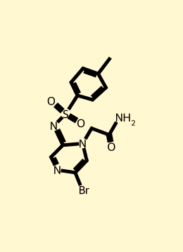 Cc1ccc(S(=O)(=O)N=c2cnc(Br)cn2CC(N)=O)cc1